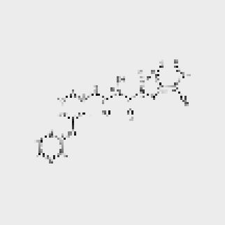 O=C(Nc1cccc(Oc2ccccc2)c1)N(S)C(=O)c1cc2c(Cl)nccc2o1